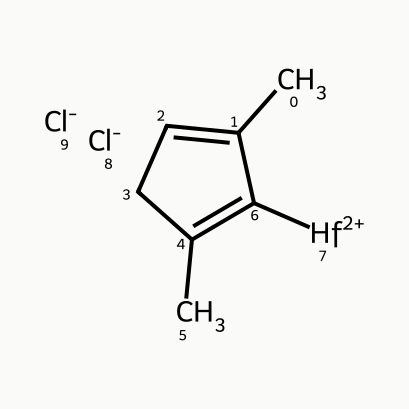 CC1=CCC(C)=[C]1[Hf+2].[Cl-].[Cl-]